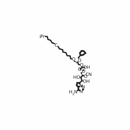 CC(C)CCCCCCCCCCCCCCOC[C@H](COP(=O)(O)OC[C@@H](OC#N)[C@@H](O)[C@@H](O)c1ccc2c(N)ncnn12)OCc1ccccc1